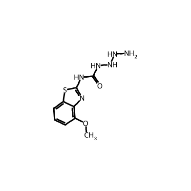 COc1cccc2sc(NC(=O)NNNN)nc12